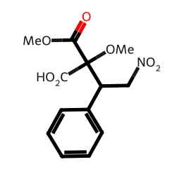 COC(=O)C(OC)(C(=O)O)C(C[N+](=O)[O-])c1ccccc1